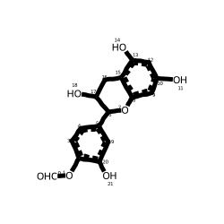 O=COc1ccc(C2Oc3cc(O)cc(O)c3CC2O)cc1O